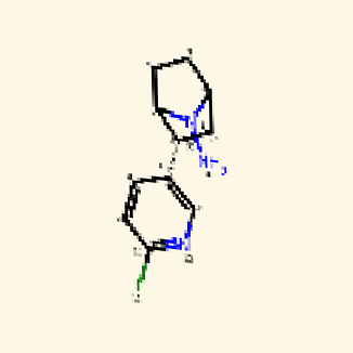 NN1C2CCC1[C@@H](c1ccc(F)nc1)C2